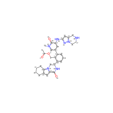 CC(=O)OCc1c(-c2cc(Nc3cc4n(n3)CCNC4)c(=O)n(C)c2)cccc1C1Cn2c(cc3c2CCCC3)C(=O)N1